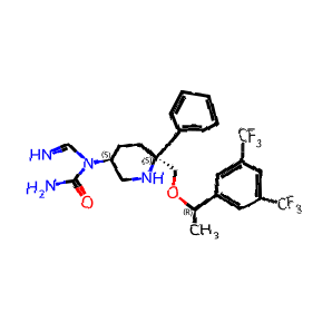 C[C@@H](OC[C@@]1(c2ccccc2)CC[C@H](N(C=N)C(N)=O)CN1)c1cc(C(F)(F)F)cc(C(F)(F)F)c1